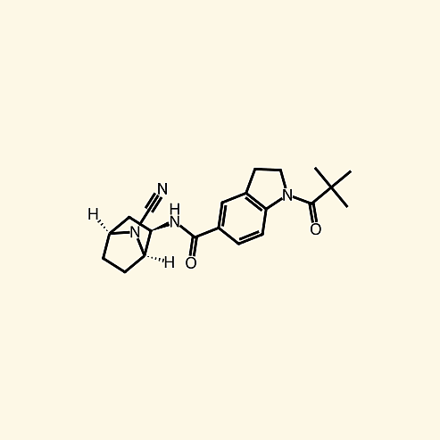 CC(C)(C)C(=O)N1CCc2cc(C(=O)N[C@@H]3C[C@@H]4CC[C@H]3N4C#N)ccc21